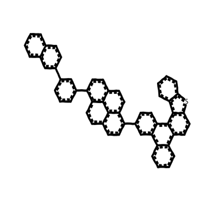 c1cc(-c2ccc3ccccc3c2)cc(-c2ccc3ccc4c(-c5ccc6c(c5)c5ccccc5c5ccc7sc8ccccc8c7c56)ccc5ccc2c3c54)c1